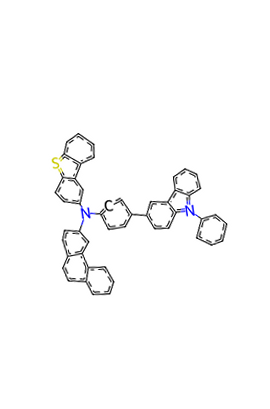 c1ccc(-n2c3ccccc3c3cc(-c4ccc(N(c5ccc6ccc7ccccc7c6c5)c5ccc6sc7ccccc7c6c5)cc4)ccc32)cc1